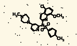 COc1ccc(Cl)c2ccc(N(c3cc(N4CCN(C)CC4)ccn3)S(=O)(=O)c3ccc(C)cc3)nc12